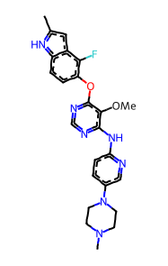 COc1c(Nc2ccc(N3CCN(C)CC3)cn2)ncnc1Oc1ccc2[nH]c(C)cc2c1F